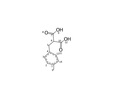 Cc1ccc(CC(C(=O)O)C(=O)O)cc1